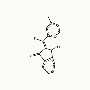 Cc1cccc(C(F)=C2C(=O)c3ccccc3C2O)c1